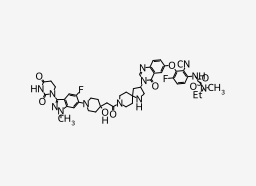 CCN(C)S(=O)(=O)Nc1ccc(F)c(Oc2ccc3ncn([C@H]4CNC5(CCN(C(=O)CC6(O)CCN(c7cc8c(cc7F)c(N7CCC(=O)NC7=O)nn8C)CC6)CC5)C4)c(=O)c3c2)c1C#N